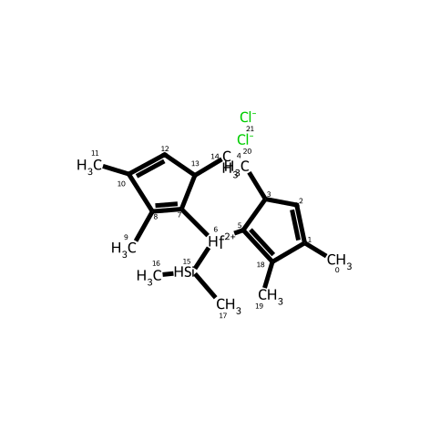 CC1=CC(C)[C]([Hf+2]([C]2=C(C)C(C)=CC2C)[SiH](C)C)=C1C.[Cl-].[Cl-]